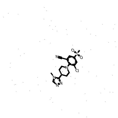 Cn1cnnc1C1CCN(c2c(Cl)cc(S(C)(=O)=O)cc2C#N)CC1